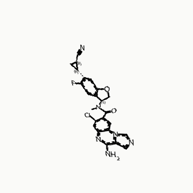 CN(C(=O)c1cc2c(cc1Cl)nc(N)c1cncn12)[C@@H]1COc2cc([C@@H]3C[C@H]3C#N)c(F)cc21